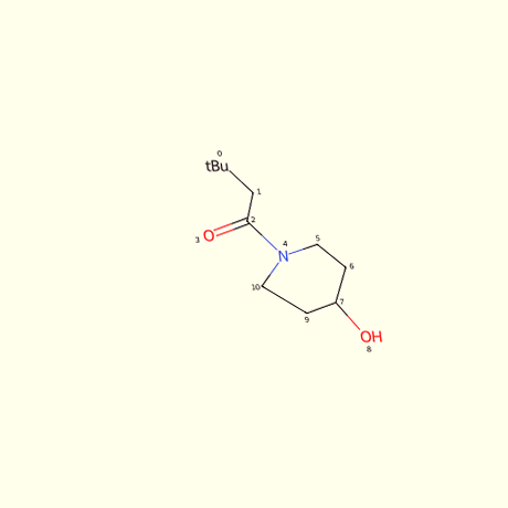 CC(C)(C)CC(=O)N1CCC(O)CC1